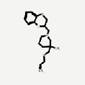 C=CCOCC1(C)CCCN(CC2COc3ccccc3O2)C1